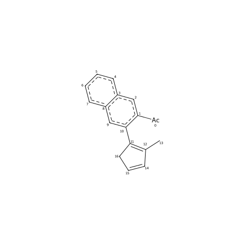 CC(=O)c1cc2ccccc2cc1C1=C(C)C=CC1